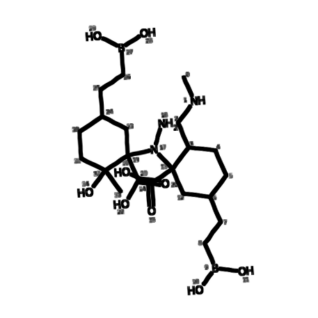 CNCC1CCC(CCB(O)O)CC1(C(=O)O)N(N)C1(C(=O)O)CC(CCB(O)O)CCC1(C)O